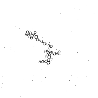 CCC(=O)N1CCN(c2nc(NCCC(=O)N(C)CCOCCOCCOc3ccc4c(c3)C(=O)N(C3CCC(=O)NC3=O)C4=O)nc3c(F)c(-c4cc(O)cc5ccccc45)c(Cl)cc23)CC1